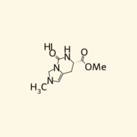 COC(=O)[C@@H]1CC2=CN(C)CN2C(=O)N1.I